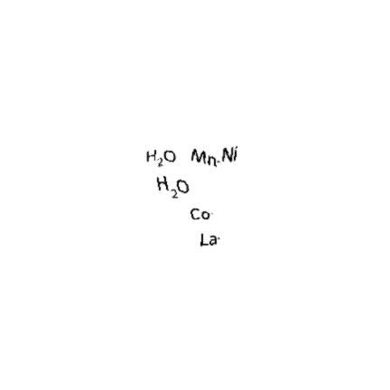 O.O.[Co].[La].[Mn].[Ni]